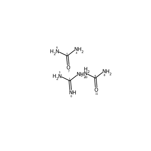 N=C(N)N.NC(N)=O.NC(N)=O